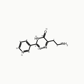 NCCc1nnc(-c2cccnc2)[nH]c1=O